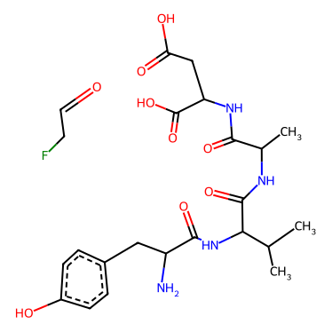 CC(NC(=O)C(NC(=O)C(N)Cc1ccc(O)cc1)C(C)C)C(=O)NC(CC(=O)O)C(=O)O.O=CCF